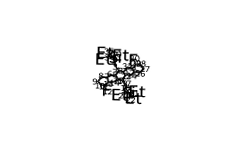 CC[Si](C#Cc1c2cc3cccc(F)c3cc2c(C#C[Si](CC)(CC)CC)c2cc3cccc(F)c3cc12)(CC)CC